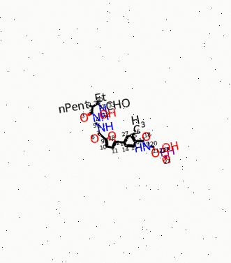 CCCCCC(C(=O)NCNC(=O)c1ccc(-c2ccc(C(=O)NCO[PH](=O)O)c(C)c2)o1)C(CC)N(O)C=O